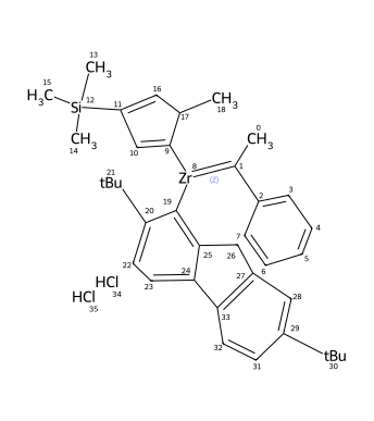 C/[C](c1ccccc1)=[Zr](\[C]1=CC([Si](C)(C)C)=CC1C)[c]1c(C(C)(C)C)ccc2c1Cc1cc(C(C)(C)C)ccc1-2.Cl.Cl